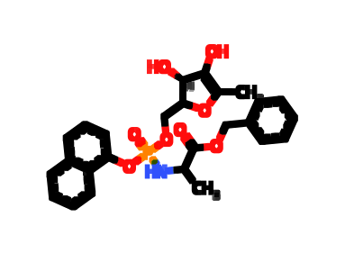 CC1=C(O)[C@H](O)C(COP(=O)(NC(C)C(=O)OCc2ccccc2)Oc2cccc3ccccc23)O1